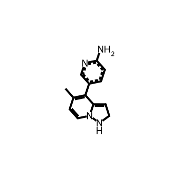 CC1=C(c2ccc(N)nc2)C2=CCNN2C=C1